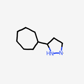 C1CCCC(C2CC[N]N2)CC1